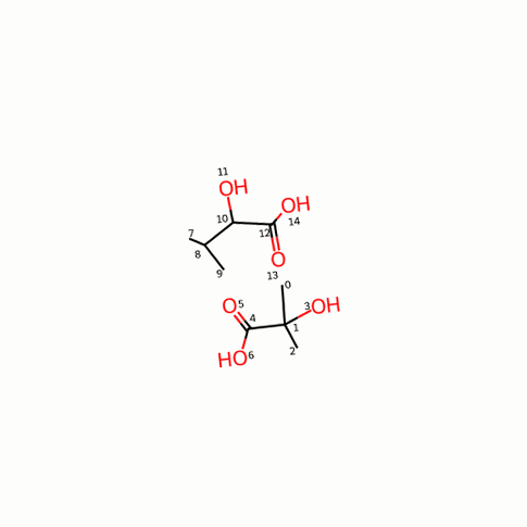 CC(C)(O)C(=O)O.CC(C)C(O)C(=O)O